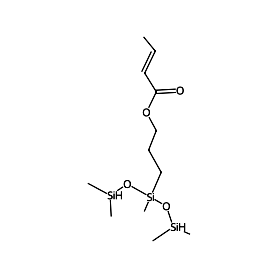 CC=CC(=O)OCCC[Si](C)(O[SiH](C)C)O[SiH](C)C